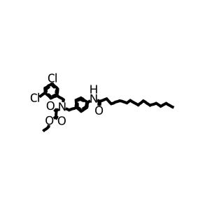 CCCCCCCCCCCCC(=O)Nc1ccc(CN(Cc2cc(Cl)cc(Cl)c2)C(=O)C(=O)OCC)cc1